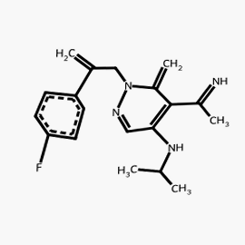 C=C(CN1N=CC(NC(C)C)=C(C(C)=N)C1=C)c1ccc(F)cc1